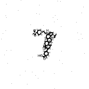 C=C(C)[C@@H]1CC[C@]2(NCCN3CCC(S(C)(=O)=O)CC3)CC[C@]3(C)[C@H](CC[C@@H]4[C@@]5(C)CC=C(C6=CCC(C)(C(=O)O)CC6)C(C)(C)[C@@H]5CC[C@]43C)[C@@H]12